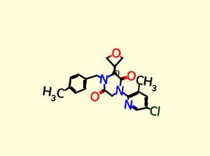 Cc1ccc(CN2C(=O)CN(c3ncc(Cl)cc3C)C(=O)[C@@H]2C2COC2)cc1